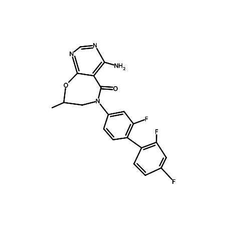 CC1CN(c2ccc(-c3ccc(F)cc3F)c(F)c2)C(=O)c2c(N)ncnc2O1